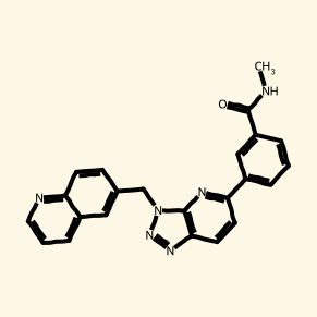 CNC(=O)c1cccc(-c2ccc3nnn(Cc4ccc5ncccc5c4)c3n2)c1